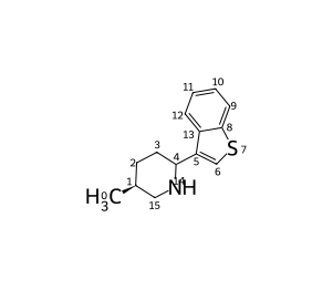 C[C@H]1CCC(c2csc3ccccc23)NC1